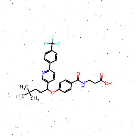 CC(C)(C)CCC(Oc1ccc(C(=O)NCCC(=O)O)cc1)c1ccc(-c2ccc(C(F)(F)F)cc2)nc1